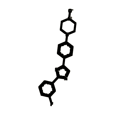 [O-][S+]1CCN(c2ccc(-c3cnc(-c4cccc(F)c4)s3)cc2)CC1